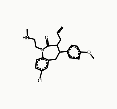 C=CCC1C(=O)N(CCNC)c2ccc(Cl)cc2CC1c1ccc(OC)cc1